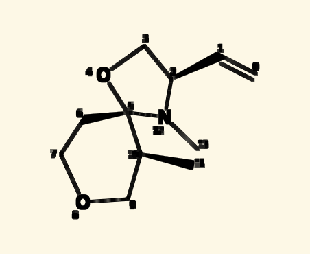 C=C[C@@H]1CO[C@]2(CCOC[C@@H]2C)N1C